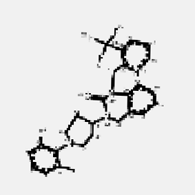 Cc1cccc(F)c1N1CCC(N2Cc3ccccc3N(Cc3ncccc3C(F)(F)F)C2=O)CC1